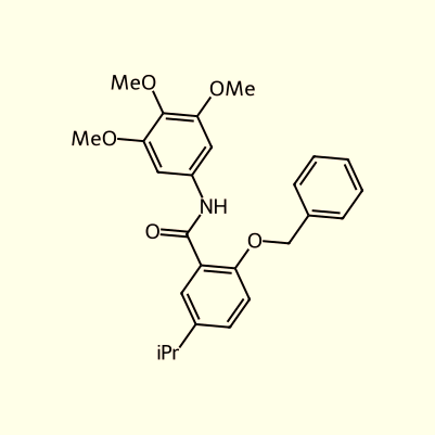 COc1cc(NC(=O)c2cc(C(C)C)ccc2OCc2ccccc2)cc(OC)c1OC